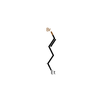 CC[CH]CC=CBr